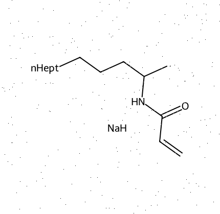 [CH2]C(CCCCCCCCCC)NC(=O)C=C.[NaH]